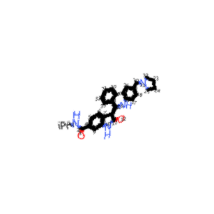 CC(C)NC(=O)c1ccc2c(c1)NC(=O)/C2=C(\Nc1ccc(CN2CCCC2)cc1)c1ccccc1